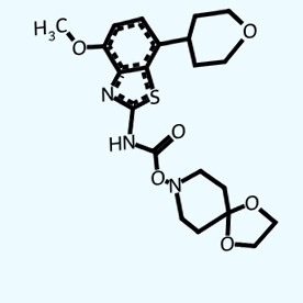 COc1ccc(C2CCOCC2)c2sc(NC(=O)ON3CCC4(CC3)OCCO4)nc12